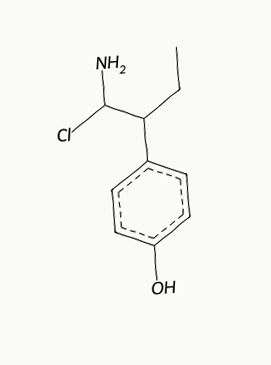 CCC(c1ccc(O)cc1)C(N)Cl